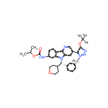 [2H]C([2H])([2H])Oc1nnn(C)c1-c1cnc2c3ccc(NC(=O)OC(C)C)cc3n([C@H](c3ccccc3)C3CCOCC3)c2c1